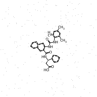 Cc1cc(C)c(NC(=O)Nc2cc3ccccc3cc2C(=O)N[C@H](CC(=O)O)c2ccccc2)c(C)c1